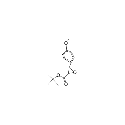 COc1ccc(C2OC2C(=O)OC(C)(C)C)cc1